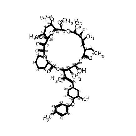 CCC1/C=C(\C)C(F)C(C)CC(OC)C2OC(O)(C(=O)C(=O)N3CCCCC3C(=O)OC(C(C)=CC3CCC(Oc4ccc(C)cc4)C(O)C3)C(C)C(O)CC1=O)C(C)CC2OC